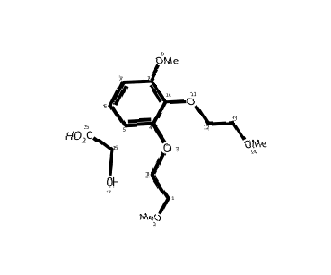 COCCOc1cccc(OC)c1OCCOC.O=C(O)CO